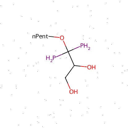 CCCCCOC(P)(P)C(O)CO